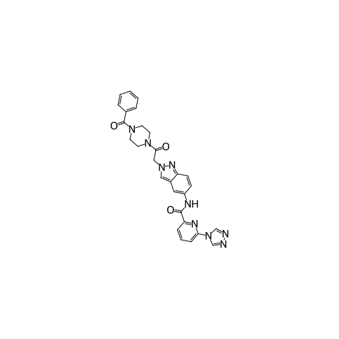 O=C(Nc1ccc2nn(CC(=O)N3CCN(C(=O)c4ccccc4)CC3)cc2c1)c1cccc(-n2cnnc2)n1